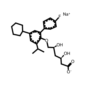 CC(C)c1cc(C2CCCCC2)cc(-c2ccc(F)cc2)c1OC[C@@H](O)C[C@@H](O)CC(=O)[O-].[Na+]